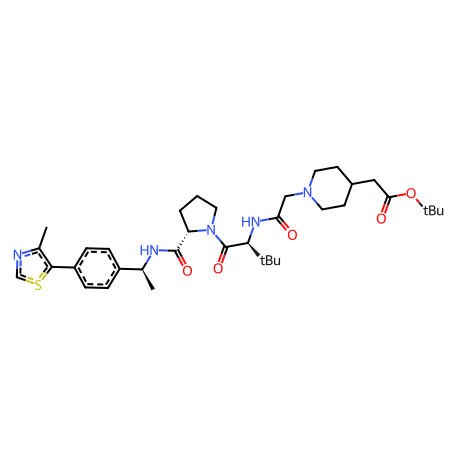 Cc1ncsc1-c1ccc([C@H](C)NC(=O)[C@@H]2CCCN2C(=O)[C@@H](NC(=O)CN2CCC(CC(=O)OC(C)(C)C)CC2)C(C)(C)C)cc1